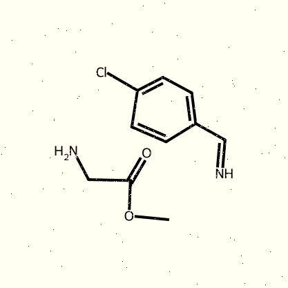 COC(=O)CN.N=Cc1ccc(Cl)cc1